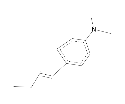 CC[C]=Cc1ccc(N(C)C)cc1